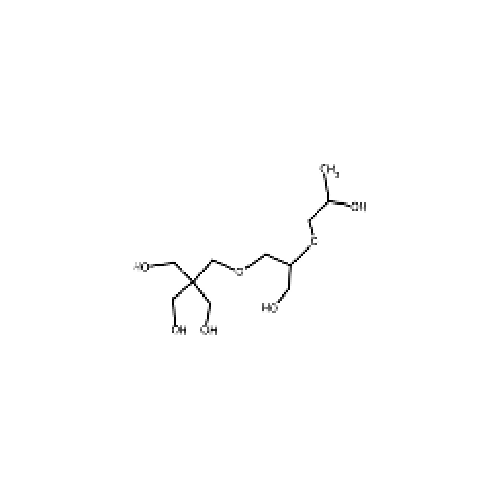 CC(O)COC(CO)COCC(CO)(CO)CO